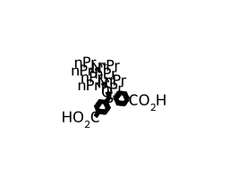 CCC[N+](CCC)(CCC)CCC.CCC[N+](CCC)(CCC)CCC.O=C(O)c1ccc([S+]([O-])c2ccc(C(=O)O)cc2)cc1